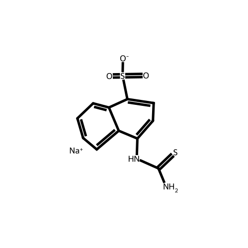 NC(=S)Nc1ccc(S(=O)(=O)[O-])c2ccccc12.[Na+]